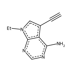 C#Cc1cn(CC)c2ncnc(N)c12